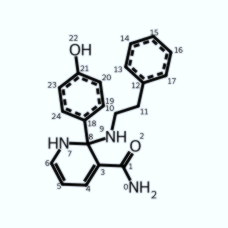 NC(=O)C1=CC=CNC1(NCCc1ccccc1)c1ccc(O)cc1